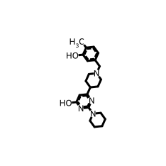 Cc1ccc(CN2CCC(c3cc(O)nc(N4CCCCC4)n3)CC2)cc1O